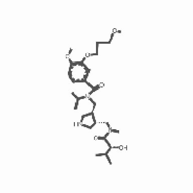 COCCCOc1cc(C(=O)N(C[C@@H]2CNC[C@H]2CN(C)C(=O)[C@@H](O)C(C)C)C(C)C)ccc1OC